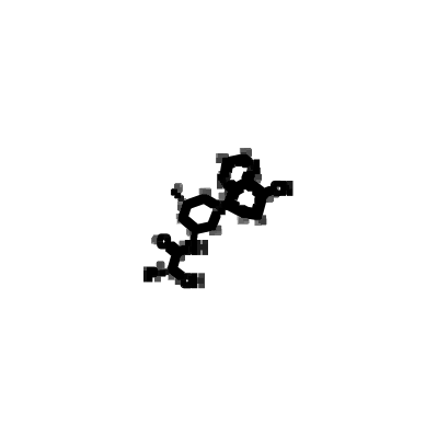 CC(C)[C@@H](O)C(=O)N[C@@H]1C[C@H](C)CN(c2ccc(C#N)c3nccnc23)C1